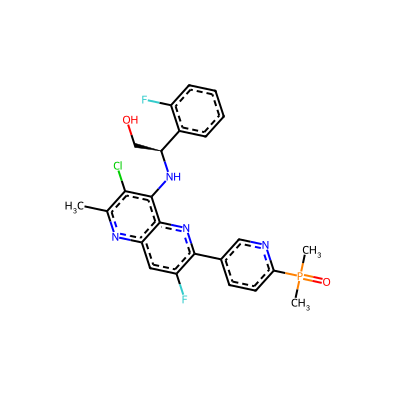 Cc1nc2cc(F)c(-c3ccc(P(C)(C)=O)nc3)nc2c(N[C@@H](CO)c2ccccc2F)c1Cl